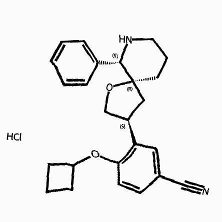 Cl.N#Cc1ccc(OC2CCC2)c([C@H]2CO[C@]3(CCCN[C@H]3c3ccccc3)C2)c1